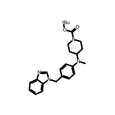 CN(c1ccc(Cn2cnc3ccccc32)cc1)C1CCN(C(=O)OC(C)(C)C)CC1